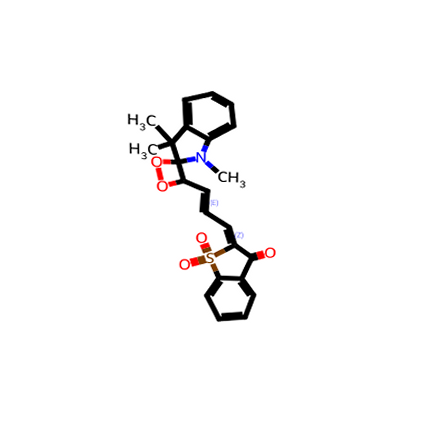 CN1c2ccccc2C(C)(C)C12OOC2/C=C/C=C1/C(=O)c2ccccc2S1(=O)=O